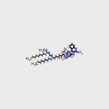 CCCCCCCCCN(CC)CCCN(CCCCCCCCC)CCCCCC(=O)OC(C)(C)Cn1c(CNCC)nc2c(N)nc3ccccc3c21